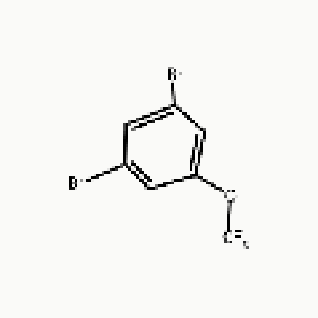 FC(F)(F)Oc1[c]c(Br)cc(Br)c1